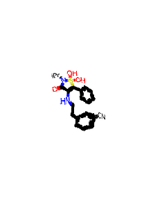 CC(C)N1C(=O)C(NCCc2cccc(C#N)c2)=C(c2ccccc2)S1(O)O